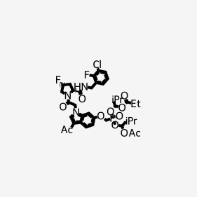 CCC(=O)OC(OP(=O)(COc1ccc2c(C(C)=O)cn(CC(=O)N3C[C@H](F)C[C@H]3C(=O)NCc3cccc(Cl)c3F)c2c1)OC(OC(C)=O)C(C)C)C(C)C